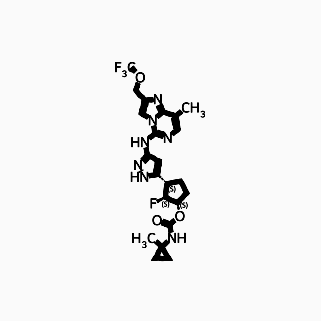 Cc1cnc(Nc2cc([C@@H]3CC[C@H](OC(=O)NC4(C)CC4)[C@H]3F)[nH]n2)n2cc(COC(F)(F)F)nc12